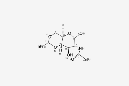 CCCC(=O)N[C@H]1C(O)O[C@@H]2COC(CCC)O[C@H]2[C@@H]1O